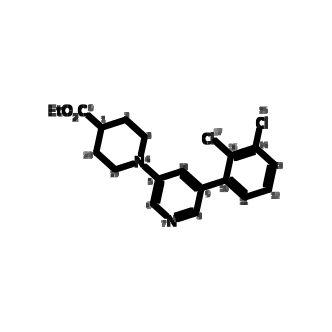 CCOC(=O)C1CCN(c2cncc(-c3cccc(Cl)c3Cl)c2)CC1